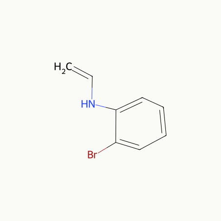 C=CNc1ccccc1Br